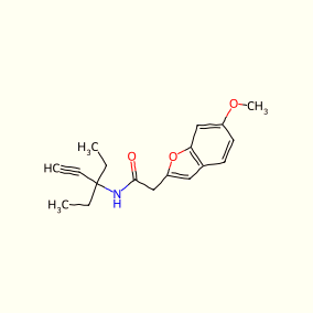 C#CC(CC)(CC)NC(=O)Cc1cc2ccc(OC)cc2o1